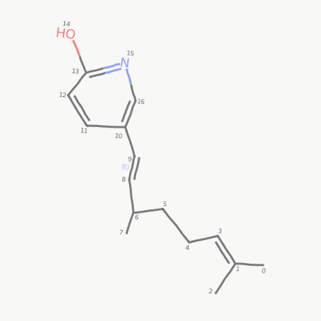 CC(C)=CCCC(C)/C=C/c1ccc(O)nc1